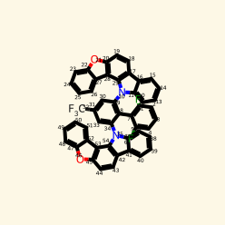 Fc1cccc(F)c1-c1c(-n2c3ccccc3c3ccc4oc5ccccc5c4c32)cc(C(F)(F)F)cc1-n1c2ccccc2c2ccc3oc4ccccc4c3c21